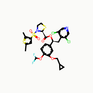 Cc1cc(S(=O)(=O)N2CCS[C@H]2C(=O)O[C@@H](Cc2c(Cl)cncc2Cl)c2ccc(OC(F)F)c(OCC3CC3)c2)c(C)s1